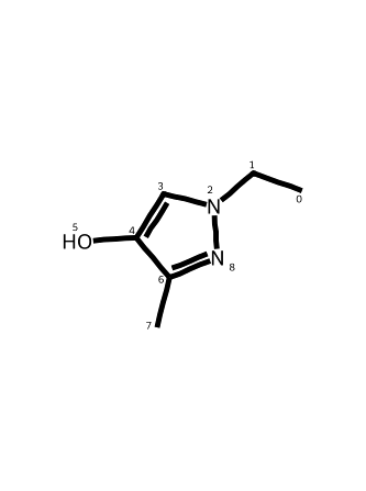 CCn1cc(O)c(C)n1